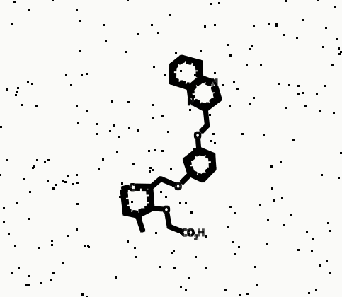 Cc1cccc(COc2cccc(OCc3cnc4ccccc4n3)c2)c1OCC(=O)O